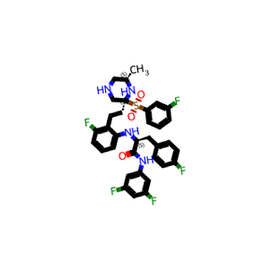 C[C@H]1CNC[C@](CCc2c(F)cccc2N[C@@H](Cc2ccc(F)cc2)C(=O)Nc2cc(F)cc(F)c2)(S(=O)(=O)c2cccc(F)c2)N1